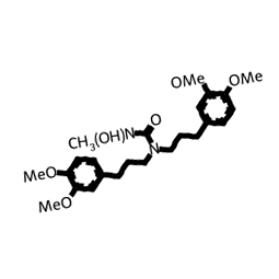 COc1ccc(CCCN(CCCc2ccc(OC)c(OC)c2)C(=O)N(C)O)cc1OC